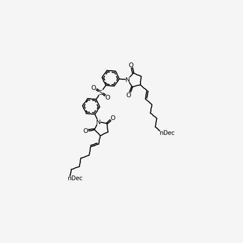 CCCCCCCCCCCCCCC=CC1CC(=O)N(c2cccc(S(=O)(=O)c3cccc(N4C(=O)CC(C=CCCCCCCCCCCCCCC)C4=O)c3)c2)C1=O